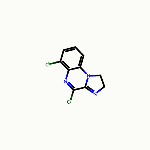 ClC1=Nc2c(Cl)cccc2N2CCN=C12